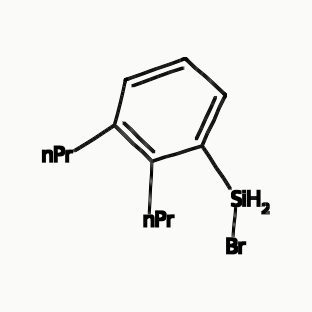 CCCc1cccc([SiH2]Br)c1CCC